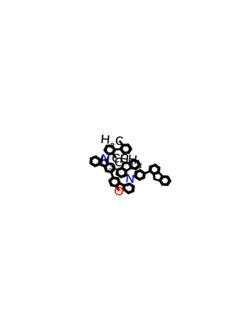 Cc1ccccc1-c1cccc(-n2c3ccccc3c3cc(-c4ccc5oc6cccc(N(c7ccc(-c8cccc9c8Cc8ccccc8-9)cc7)c7cccc8c7-c7ccccc7C8(C)C)c6c5c4)ccc32)c1C